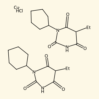 CCC1C(=O)NC(=O)N(C2CCCCC2)C1=O.CCC1C(=O)NC(=O)N(C2CCCCC2)C1=O.Cl.[Cu]